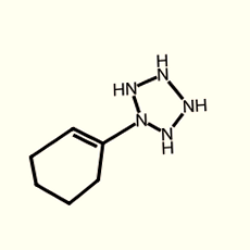 C1=C(n2[nH][nH][nH][nH]2)CCCC1